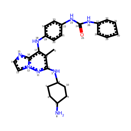 Cc1c(NC2CCC(N)CC2)nn2ccnc2c1Nc1ccc(NC(=O)Nc2ccccc2)cc1